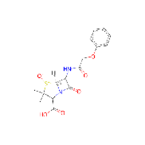 CC1(C)C(C(=O)O)N2C(=O)C(NC(=O)COc3ccccc3)[C@@H]2[S+]1[O-]